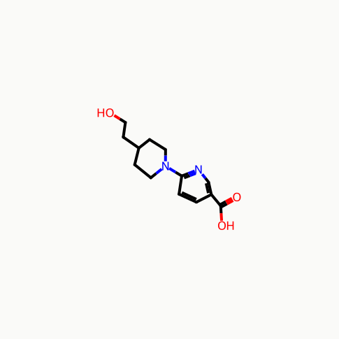 O=C(O)c1ccc(N2CCC(CCO)CC2)nc1